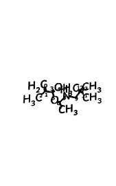 C=C(C)C(=O)OC(C)NCC(C)(C)C